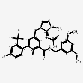 COc1cc(CNC(=O)c2cc(Cn3ccn(C)c3=NC(=O)O)cc(-c3ccc(F)cc3C(F)(F)F)c2F)cc(OC)c1